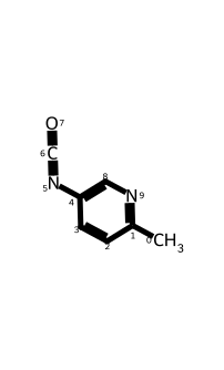 Cc1ccc(N=C=O)cn1